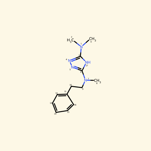 CN(C)c1nnc(N(C)CCc2ccccc2)[nH]1